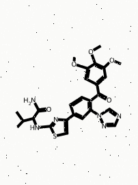 COc1cc(C(=O)c2ccc(-c3csc(NC(C(N)=O)C(C)C)n3)cc2-n2cncn2)cc(OC)c1OC